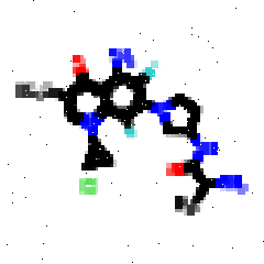 CC(N)C(=O)NC1CCN(c2c(F)c(N)c3c(=O)c(C(=O)O)cn(C4CC4)c3c2F)C1.Cl